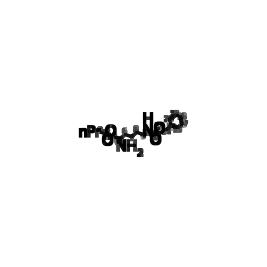 CCCC1OC([C@@H](N)CCCCNC(=O)OCc2ccccc2)O1